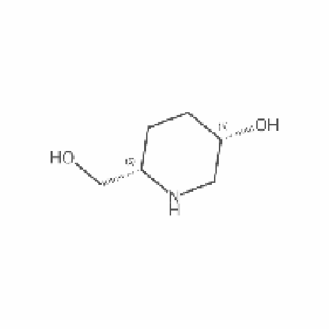 OC[C@@H]1CC[C@H](O)CN1